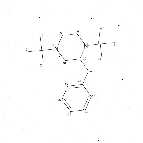 CC(C)(C)N1CCN(C(C)(C)C)C(Cc2ccccc2)C1